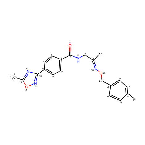 CC(CNC(=O)c1ccc(-c2noc(C(F)(F)F)n2)cc1)=NOCc1ccc(C)cc1